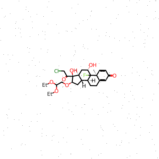 CCOC(CO[C@@H]1C[C@H]2[C@@H]3CCC4=CC(=O)C=C[C@]4(C)C3(F)[C@@H](O)C[C@]2(C)[C@@]1(O)C(=O)CCl)OCC